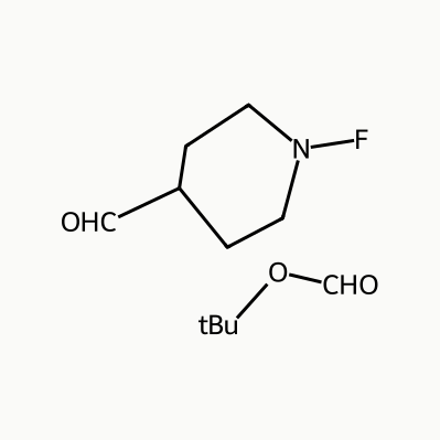 CC(C)(C)OC=O.O=CC1CCN(F)CC1